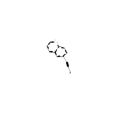 O=CC#Cc1ccc2ncccc2c1